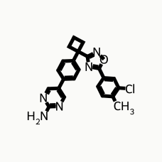 Cc1ccc(-c2nc(C3(c4ccc(-c5cnc(N)nc5)cc4)CCC3)no2)cc1Cl